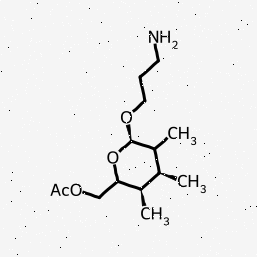 CC(=O)OCC1O[C@@H](OCCCN)C(C)[C@@H](C)[C@H]1C